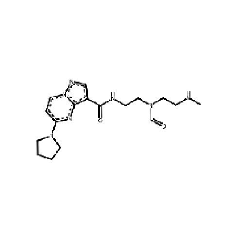 CNCCN(C=O)CCNC(=O)c1cnn2ccc(N3CCCC3)nc12